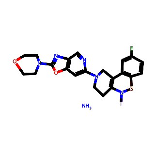 Fc1ccc2c(c1)C1=C(CCN(c3cc4oc(N5CCOCC5)nc4cn3)C1)N(I)S2.N